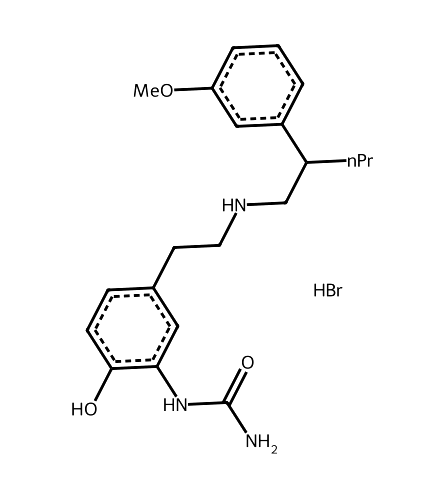 Br.CCCC(CNCCc1ccc(O)c(NC(N)=O)c1)c1cccc(OC)c1